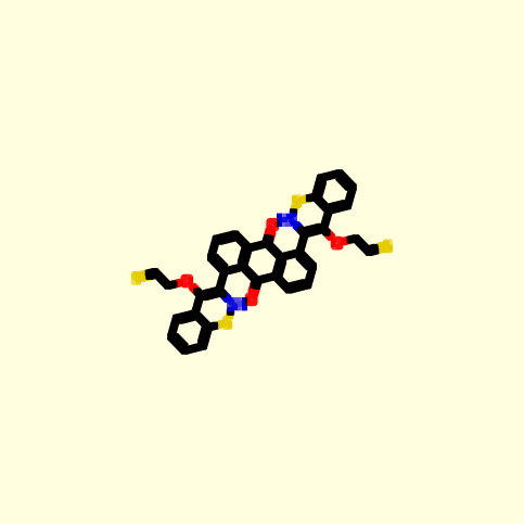 O=C1c2cccc(C3=C(OCC=S)c4ccccc4SN3)c2C(=O)c2cccc(C3=C(OCC=S)c4ccccc4SN3)c21